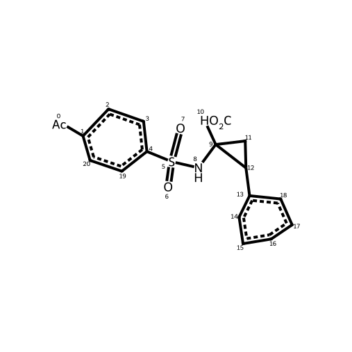 CC(=O)c1ccc(S(=O)(=O)NC2(C(=O)O)CC2c2ccccc2)cc1